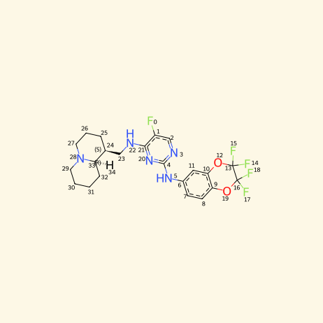 Fc1cnc(Nc2ccc3c(c2)OC(F)(F)C(F)(F)O3)nc1NC[C@@H]1CCCN2CCCC[C@H]12